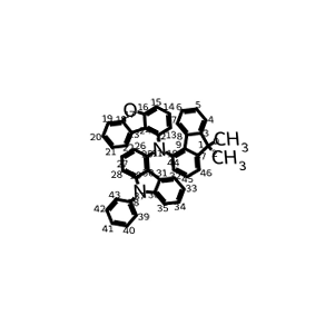 CC1(C)c2ccccc2-c2c(N(c3cccc4oc5ccccc5c34)c3cccc4c3c3ccccc3n4-c3ccccc3)cccc21